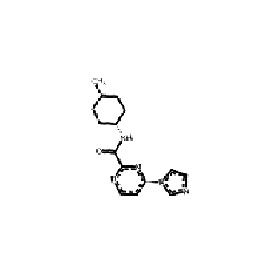 C[C@H]1CC[C@H](NC(=O)c2nccc(-n3ccnc3)n2)CC1